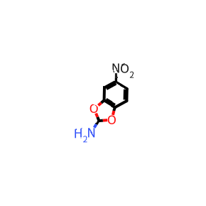 NC1Oc2ccc([N+](=O)[O-])cc2O1